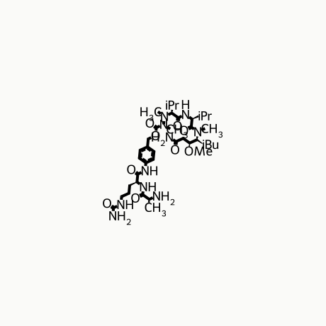 CC[C@H](C)[C@@H]([C@@H](CC(N)=O)OC)N(C)C(=O)[C@@H](NC(=O)[C@H](C(C)C)N(C)N(C)C(=O)OCc1ccc(NC(=O)[C@H](CCCNC(N)=O)NC(=O)[C@H](C)N)cc1)C(C)C